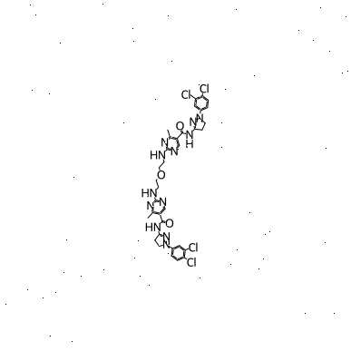 Cc1nc(NCCOCCNc2ncc(C(=O)NC3=NN(c4ccc(Cl)c(Cl)c4)CC3)c(C)n2)ncc1C(=O)NC1=NN(c2ccc(Cl)c(Cl)c2)CC1